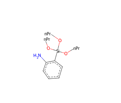 CCCO[Si](OCCC)(OCCC)c1ccccc1N